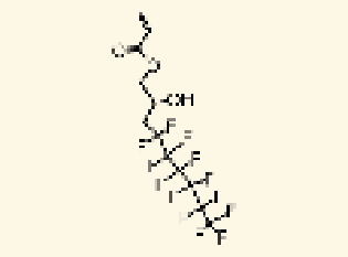 C=CC(=O)OCC(O)CC(F)(F)C(F)(F)C(F)(F)C(F)(F)C(F)(F)C(F)(F)F